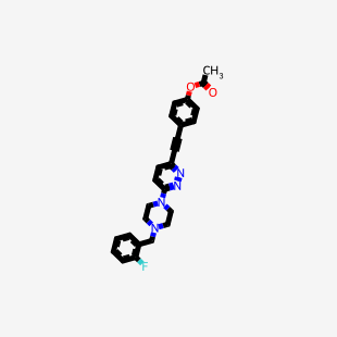 CC(=O)Oc1ccc(C#Cc2ccc(N3CCN(Cc4ccccc4F)CC3)nn2)cc1